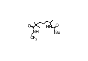 CC(CCCC(C)(C)C(=O)NCC(F)(F)F)NC(=O)C(C)(C)C